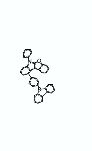 c1ccc(-n2c3cccc(-c4ccc(B5c6ccccc6-c6ccccc65)cc4)c3c3c4ccccc4oc32)cc1